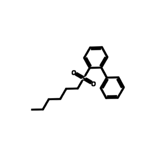 CCCCCCS(=O)(=O)c1ccccc1-c1ccccc1